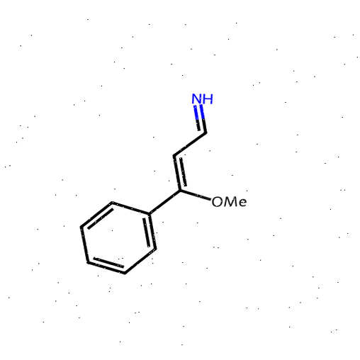 CO/C(=C\C=N)c1ccccc1